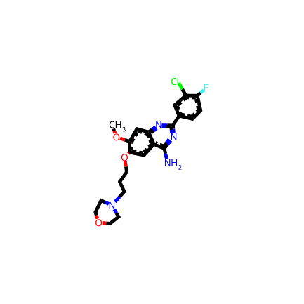 COc1cc2nc(-c3ccc(F)c(Cl)c3)nc(N)c2cc1OCCCN1CCOCC1